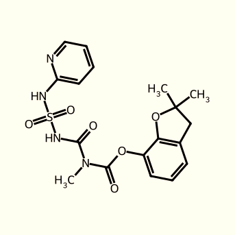 CN(C(=O)NS(=O)(=O)Nc1ccccn1)C(=O)Oc1cccc2c1OC(C)(C)C2